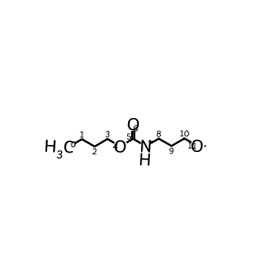 CCCCOC(=O)NCCC[O]